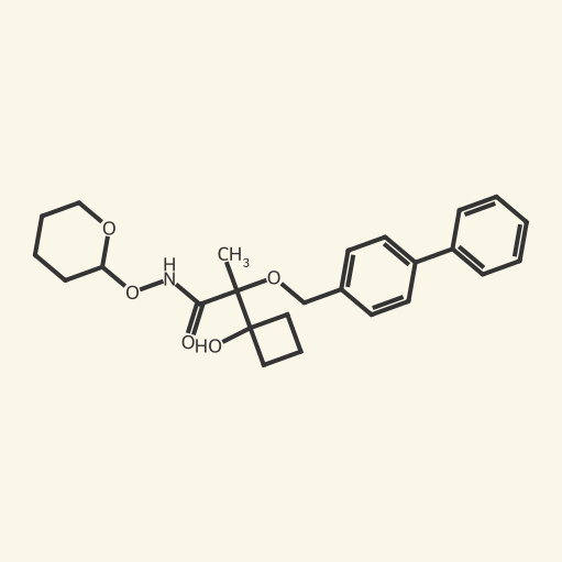 CC(OCc1ccc(-c2ccccc2)cc1)(C(=O)NOC1CCCCO1)C1(O)CCC1